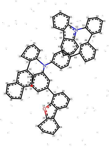 c1cc(-c2ccc(N(c3cccc(-c4cccc5c4oc4ccccc45)c3)c3ccccc3-c3ccc4ccccc4c3)cc2)cc(-c2ccccc2-n2c3ccccc3c3ccccc32)c1